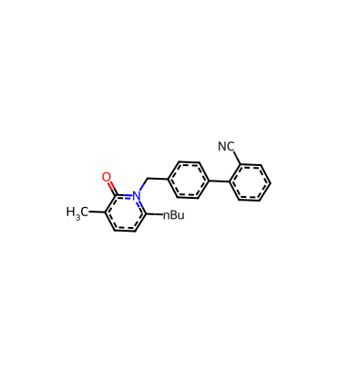 CCCCc1ccc(C)c(=O)n1Cc1ccc(-c2ccccc2C#N)cc1